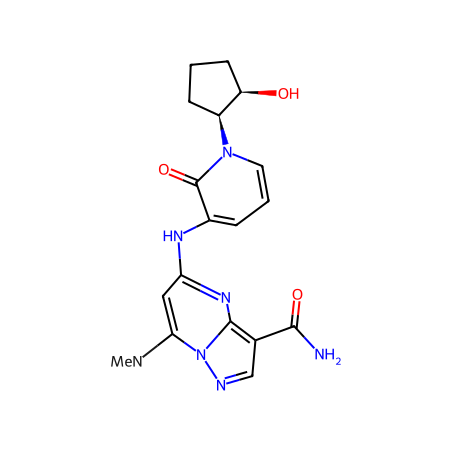 CNc1cc(Nc2cccn([C@H]3CCC[C@H]3O)c2=O)nc2c(C(N)=O)cnn12